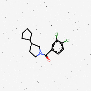 O=C(c1ccc(Cl)c(Cl)c1)N1CCC(C2CCCC2)C1